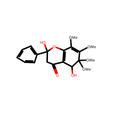 COC1=C(OC)C(OC)(OC)C(O)C2=C1OC(O)(c1ccccc1)CC2=O